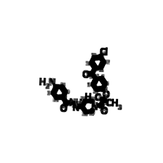 CC(C)(Oc1ccc(C(=O)c2ccc(Cl)cc2)cc1)C(=O)N1CCC(=NNC(=O)c2ccc(N)cc2)CC1